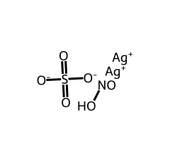 O=NO.O=S(=O)([O-])[O-].[Ag+].[Ag+]